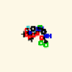 CC(C)(C)OC(=O)N(C(=O)OC(C)(C)C)c1c(F)ccc(NC(=O)c2cc(NC(=O)C3CC3(Cl)Cl)ccc2Cl)c1F